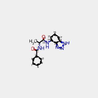 CC(NC(=O)c1ccccc1)C(=O)Nc1cccc2[nH]nnc12